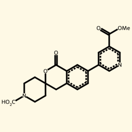 COC(=O)c1cncc(-c2ccc3c(c2)C(=O)OC2(CCN(C(=O)O)CC2)C3)c1